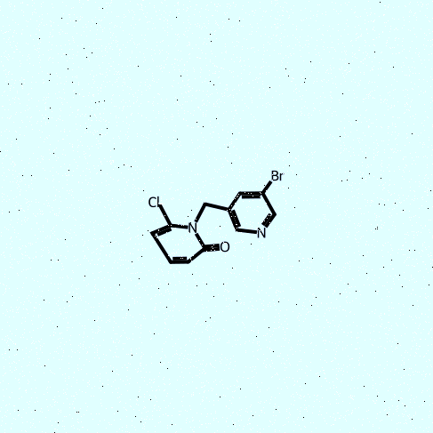 O=c1cccc(Cl)n1Cc1cncc(Br)c1